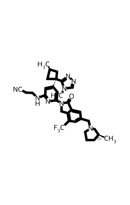 C[C@H]1CCCN(Cc2cc3c(c(C(F)(F)F)c2)CN(c2cc([C@]4(c5nncn5C)C[C@@H](C)C4)cc(NCCC#N)n2)C3=O)C1